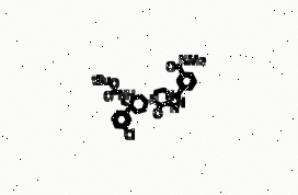 CNC(=O)c1cccc(-c2nnc3n2CCN([C@H]2CC[C@@](CNC(=O)OC(C)(C)C)(c4cccc(Cl)c4)CC2)C3=O)c1